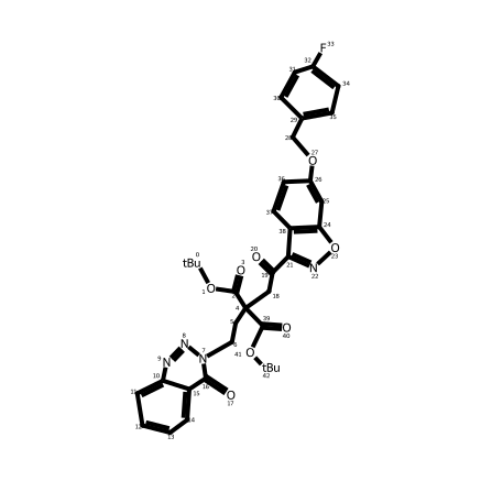 CC(C)(C)OC(=O)C(CCn1nnc2ccccc2c1=O)(CC(=O)c1noc2cc(OCc3ccc(F)cc3)ccc12)C(=O)OC(C)(C)C